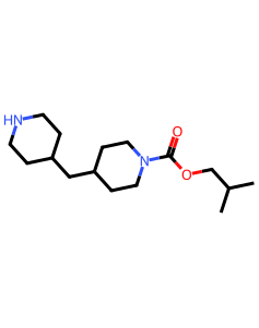 CC(C)COC(=O)N1CCC(CC2CCNCC2)CC1